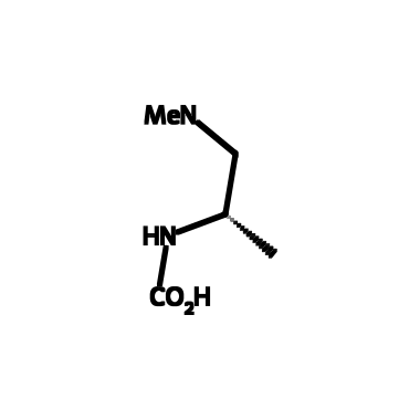 CNC[C@H](C)NC(=O)O